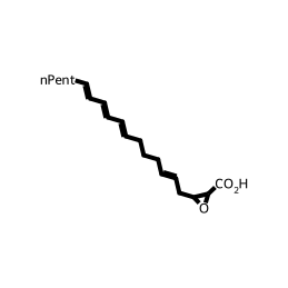 CCCCCC=CC=CC=CCCCC=CCC1OC1C(=O)O